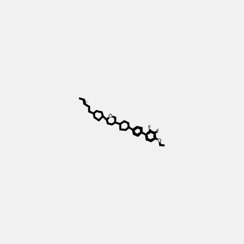 C/C=C/CCC1CCC(C2CCC(C3CCC(c4ccc(-c5ccc(OCC)c(F)c5F)cc4)CC3)CO2)CC1